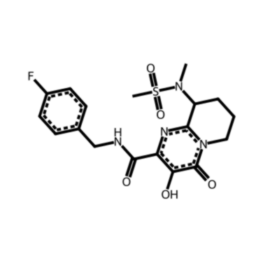 CN(C1CCCn2c1nc(C(=O)NCc1ccc(F)cc1)c(O)c2=O)S(C)(=O)=O